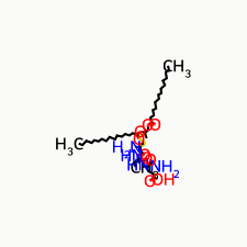 CCCCCCCCCCCCCCCC(=O)OCC(CSCC(N)C(=O)NC(CC)C(=O)NC(CCC(=O)O)C(N)=O)OC(=O)CCCCCCCCCCCCCCC